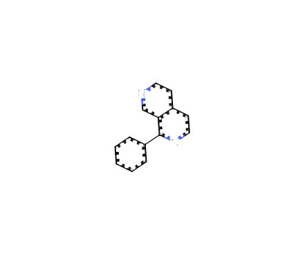 c1ccc(-c2nccc3ccncc23)cc1